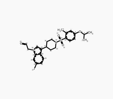 Cc1cc(OC(C)C)ccc1S(=O)(=O)N1CCC(c2cn(CC=O)c3cc(I)ccc23)CC1